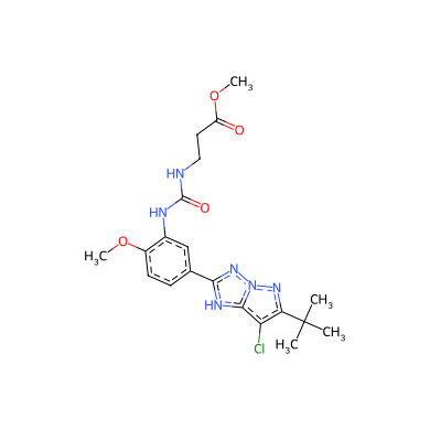 COC(=O)CCNC(=O)Nc1cc(-c2nn3nc(C(C)(C)C)c(Cl)c3[nH]2)ccc1OC